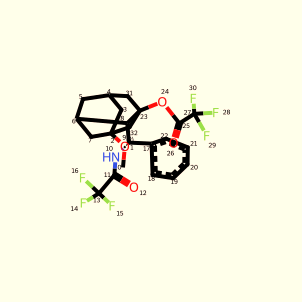 COC12CC3CC(C1)C([C@@H](NC(=O)C(F)(F)F)c1ccccc1)C(OC(=O)C(F)(F)F)(C3)C2